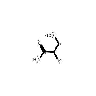 CCOC(=O)CC(C(N)=O)C(C)C